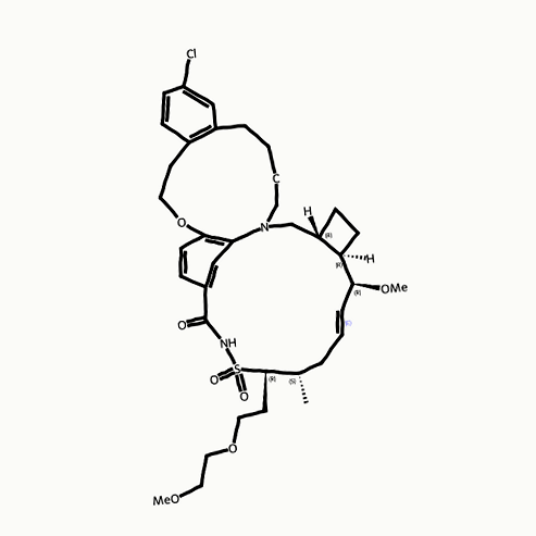 COCCOCC[C@@H]1[C@@H](C)C/C=C/[C@H](OC)[C@@H]2CC[C@H]2CN2CCCCc3cc(Cl)ccc3CCOc3ccc(cc32)C(=O)NS1(=O)=O